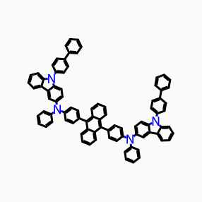 c1ccc(-c2ccc(-n3c4ccccc4c4cc(N(c5ccccc5)c5ccc(-c6c7ccccc7c(-c7ccc(N(c8ccccc8)c8ccc9c(c8)c8ccccc8n9-c8ccc(-c9ccccc9)cc8)cc7)c7ccccc67)cc5)ccc43)cc2)cc1